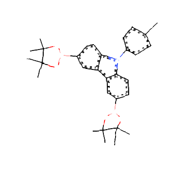 Cc1ccc(-n2c3ccc(B4OC(C)(C)C(C)(C)O4)cc3c3cc(B4OC(C)(C)C(C)(C)O4)ccc32)cc1